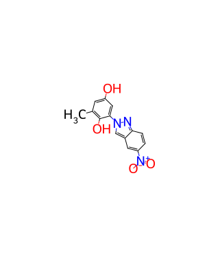 Cc1cc(O)cc(-n2cc3cc([N+](=O)[O-])ccc3n2)c1O